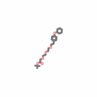 CC(C)(C)OC(=O)COCCOCCOCCc1ccc(OC2CCCCC2)cc1